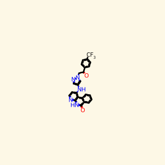 O=C(Cn1cc(Nc2ccnc3[nH]c(=O)c4ccccc4c23)cn1)c1ccc(C(F)(F)F)cc1